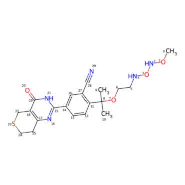 CONONCCOC(C)(C)c1ccc(-c2nc3c(c(=O)[nH]2)CSCC3)cc1C#N